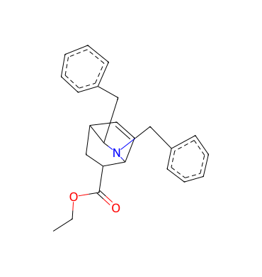 CCOC(=O)C1CC2C=CC1N(Cc1ccccc1)C2Cc1ccccc1